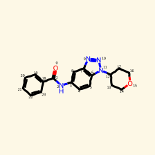 O=C(Nc1ccc2c(c1)nnn2C1CCOCC1)c1ccccc1